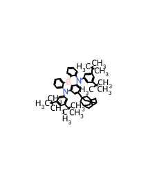 CC(C)(C)c1cc(N2c3ccccc3B3c4ccccc4N(c4cc(C(C)(C)C)cc(C(C)(C)C)c4)c4cc(C56CC7CC8C(C5)CC8(C7)C6)cc2c43)cc(C(C)(C)C)c1